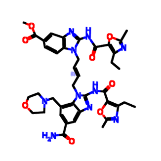 CCc1nc(C)oc1C(=O)Nc1nc2cc(C(=O)OC)ccc2n1C/C=C/Cn1c(NC(=O)c2oc(C)nc2CC)nc2cc(C(N)=O)cc(CN3CCOCC3)c21